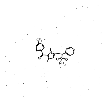 Cc1cc(CC(c2ccccc2)S(N)(=O)=O)n(C)c1C(=O)c1ccc(C(F)(F)F)cc1